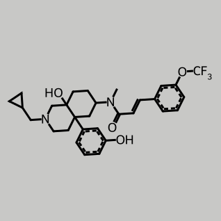 CN(C(=O)/C=C/c1cccc(OC(F)(F)F)c1)C1CCC2(O)CN(CC3CC3)CCC2(c2cccc(O)c2)C1